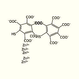 O=C([O-])c1c(S)c(C(=O)[O-])c(C(=O)[O-])c(C(=O)[O-])c1C(=O)[O-].O=C([O-])c1c(S)c(C(=O)[O-])c(C(=O)[O-])c(C(=O)[O-])c1C(=O)[O-].[Zn+2].[Zn+2].[Zn+2].[Zn+2].[Zn+2]